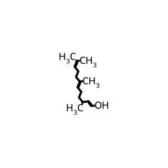 CC(C)=CCC/C(C)=C/CCC(C)/C=C/O